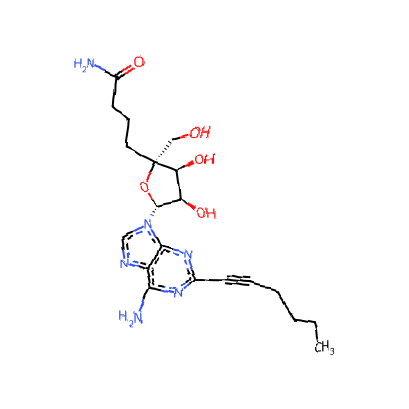 CCCCC#Cc1nc(N)c2ncn([C@@H]3O[C@@](CO)(CCCC(N)=O)[C@@H](O)[C@H]3O)c2n1